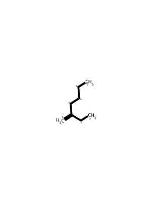 C=C(CC)C[CH]CC